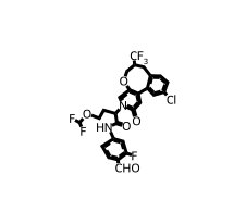 O=Cc1ccc(NC(=O)C(CCOC(F)F)n2cc3c(cc2=O)-c2cc(Cl)ccc2CC(C(F)(F)F)CO3)cc1F